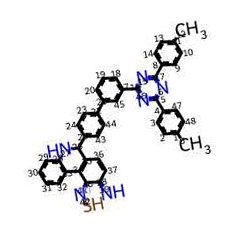 Cc1ccc(-c2nc(-c3ccc(C)cc3)nc(-c3cccc(-c4ccc(C5Nc6ccccc6C6=C5C=CC(=N)/C6=N\S)cc4)c3)n2)cc1